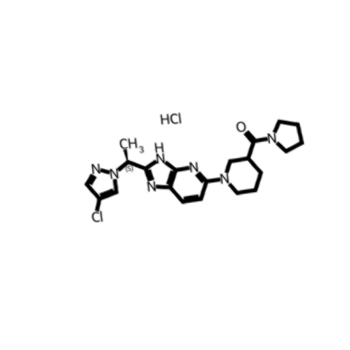 C[C@@H](c1nc2ccc(N3CCCC(C(=O)N4CCCC4)C3)nc2[nH]1)n1cc(Cl)cn1.Cl